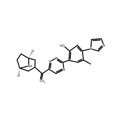 C=C(c1cnc(-c2cc(F)c(-n3ccnc3)cc2O)nn1)C1C[C@H]2CC[C@@H](C1)N2